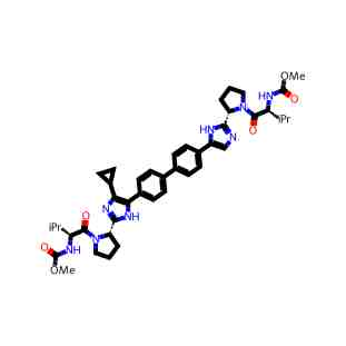 COC(=O)N[C@H](C(=O)N1CCC[C@H]1c1ncc(-c2ccc(-c3ccc(-c4[nH]c([C@@H]5CCCN5C(=O)[C@@H](NC(=O)OC)C(C)C)nc4C4CC4)cc3)cc2)[nH]1)C(C)C